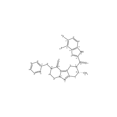 C[C@@H]1Cc2nn3c(c2CN1C(=O)c1cc2c(F)c(F)ccc2[nH]1)C(=O)N(Cc1ccccn1)CC3